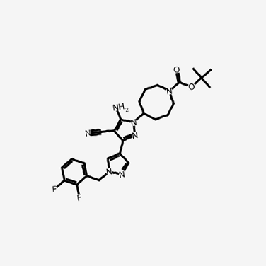 CC(C)(C)OC(=O)N1CCCC(n2nc(-c3cnn(Cc4cccc(F)c4F)c3)c(C#N)c2N)CCC1